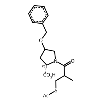 CC(=O)SCC(C)C(=O)N1CC(OCc2ccccc2)C[C@H]1C(=O)O